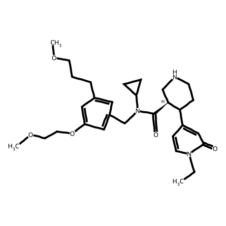 CCn1ccc(C2CCNC[C@@H]2C(=O)N(Cc2cc(CCCOC)cc(OCCOC)c2)C2CC2)cc1=O